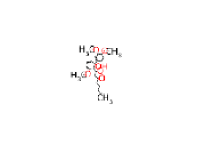 CCCCCC(=O)CC(=O)C1C(OC)=CC=CC1(O)c1ccc(OC)c(OC)c1